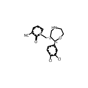 N#Cc1cccn(C[C@@H]2CNCCO[C@H]2c2ccc(Cl)c(Cl)c2)c1=O